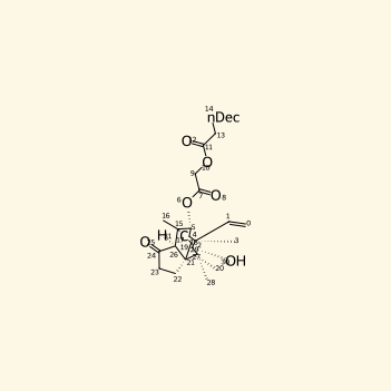 C=C[C@]1(C)C[C@@H](OC(=O)COC(=O)CCCCCCCCCCC)C2(C)CC[C@@H](C)[C@@]3(CCC(=O)[C@@H]23)[C@@H](C)[C@@H]1O